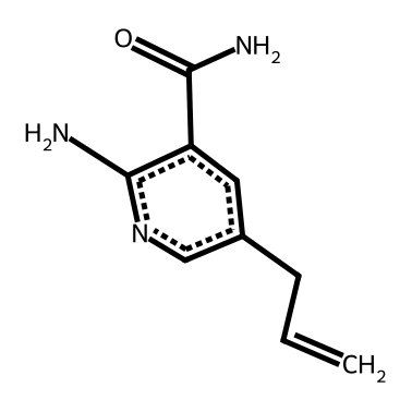 C=CCc1cnc(N)c(C(N)=O)c1